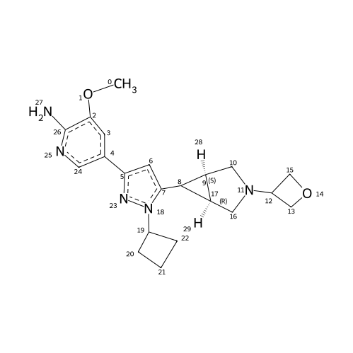 COc1cc(-c2cc(C3[C@H]4CN(C5COC5)C[C@@H]34)n(C3CCC3)n2)cnc1N